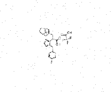 O=C(O)C(F)(F)F.O=C(O)N(CC1CC2CCC(C1)N2)c1sccc1Cc1ccc(F)cc1